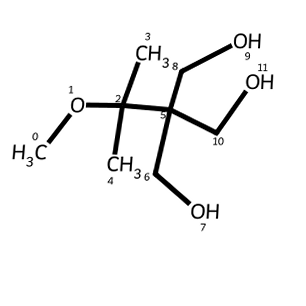 COC(C)(C)C(CO)(CO)CO